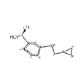 CC[C@H](O)c1cc(OCC2CC2)ccn1